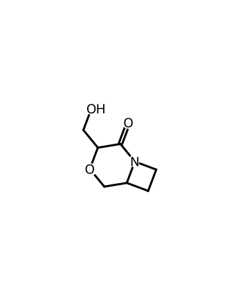 O=C1C(CO)OCC2CCN12